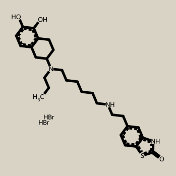 Br.Br.CCCN(CCCCCCNCCc1ccc2sc(=O)[nH]c2c1)C1CCc2c(ccc(O)c2O)C1